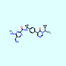 CC(C)Nc1nc(C(=O)NC2(c3ccc(-c4cncn(C(C)C5CC5)c4=O)cc3)CC2)ncc1C=N